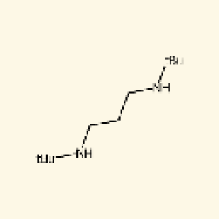 CC(C)(C)NCCCNC(C)(C)C